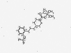 CC(C)(C)OC(=O)N1CCC(CCCc2ccccc2OC(F)F)CC1